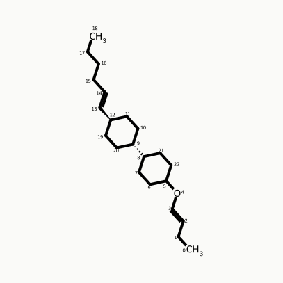 CC/C=C/OC1CCC([C@H]2CC[C@H](/C=C/CCCC)CC2)CC1